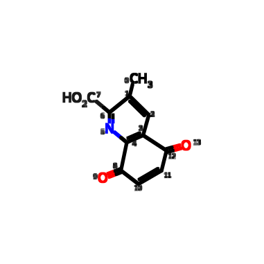 Cc1cc2c(nc1C(=O)O)C(=O)C=CC2=O